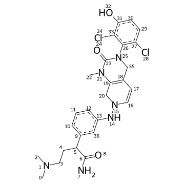 CN(C)CCC(C(N)=O)c1cccc(NN2C=CC3=C(C2)N(C)C(=O)N(c2c(Cl)ccc(O)c2Cl)C3)c1